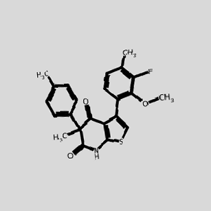 COc1c(-c2csc3c2C(=O)C(C)(c2ccc(C)cc2)C(=O)N3)ccc(C)c1F